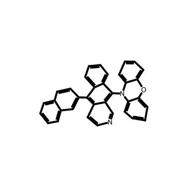 c1ccc2c(c1)Oc1ccccc1N2c1c2ccccc2c(-c2ccc3ccccc3c2)c2ccncc12